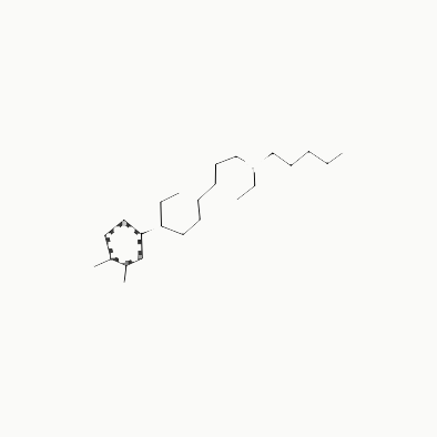 FCCCC[Si@H]1CC[C@H]([C@H]2CC[C@H](c3ccc(F)c(F)c3)CC2)CC1